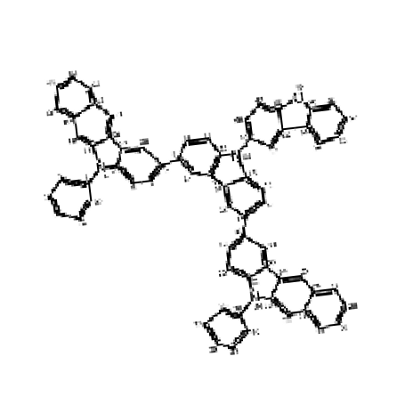 c1ccc(-n2c3ccc(-c4ccc5c(c4)c4cc(-c6ccc7c(c6)c6cc8ccccc8cc6n7-c6ccccc6)ccc4n5-c4ccc5oc6ccccc6c5c4)cc3c3cc4ccccc4cc32)cc1